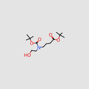 CC(C)(C)OC(=O)CCCN(CCO)C(=O)OC(C)(C)C